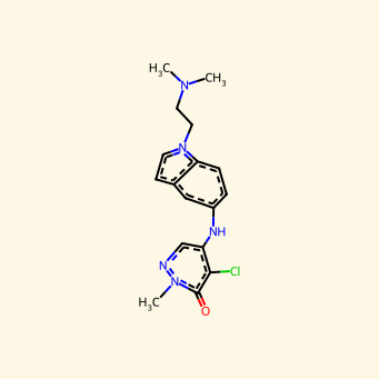 CN(C)CCn1ccc2cc(Nc3cnn(C)c(=O)c3Cl)ccc21